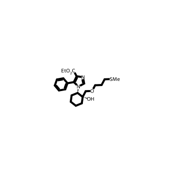 CCOC(=O)c1ncn([C@H]2CCCC[C@]2(O)COCCCSC)c1-c1ccccc1